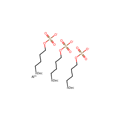 CCCCCCCCCCCCCCOS(=O)(=O)[O-].CCCCCCCCCCCCCCOS(=O)(=O)[O-].CCCCCCCCCCCCCCOS(=O)(=O)[O-].[Al+3]